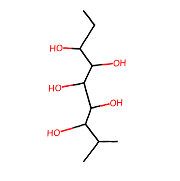 CCC(O)C(O)C(O)C(O)C(O)C(C)C